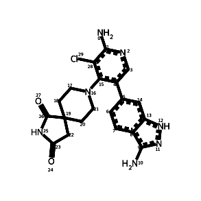 Nc1ncc(-c2ccc3c(N)n[nH]c3c2)c(N2CCC3(CC2)CC(=O)NC3=O)c1Cl